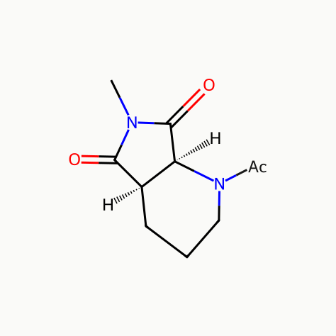 CC(=O)N1CCC[C@H]2C(=O)N(C)C(=O)[C@H]21